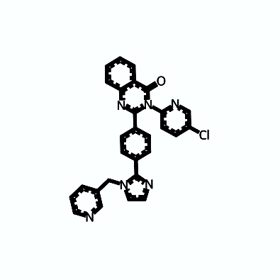 O=c1c2ccccc2nc(-c2ccc(-c3nccn3Cc3cccnc3)cc2)n1-c1ccc(Cl)cn1